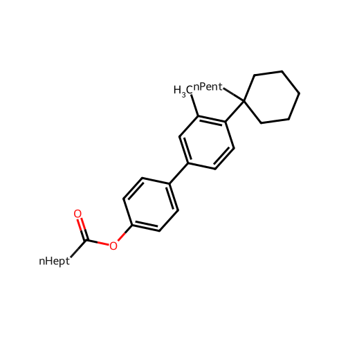 CCCCCCCC(=O)Oc1ccc(-c2ccc(C3(CCCCC)CCCCC3)c(C)c2)cc1